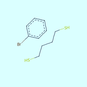 Brc1ccccc1.SCCCCS